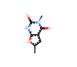 Cc1cc2c(=O)n(C)c(=O)[nH]c2o1